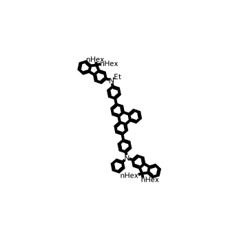 CCCCCCC1(CCCCCC)c2ccccc2-c2ccc(N(CC)c3ccc(-c4ccc5c6ccc(-c7ccc(N(c8ccccc8)c8ccc9c(c8)C(CCCCCC)(CCCCCC)c8ccccc8-9)cc7)cc6c6ccccc6c5c4)cc3)cc21